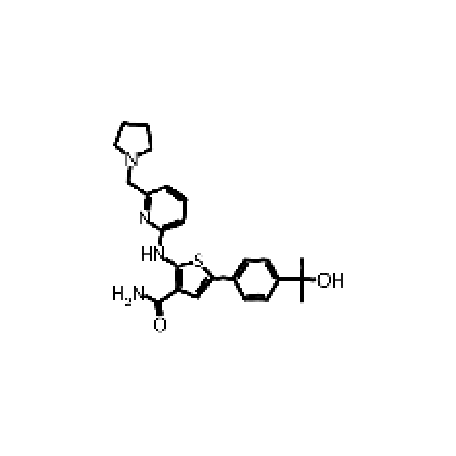 CC(C)(O)c1ccc(-c2cc(C(N)=O)c(Nc3cccc(CN4CCCC4)n3)s2)cc1